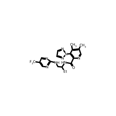 CCC(CNc1ncc(C(F)(F)F)cn1)NC(=O)c1ncc(C)c(C)c1-n1nccn1